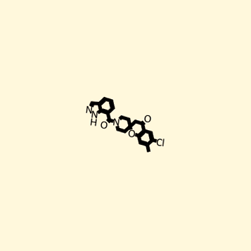 Cc1cc2c(cc1Cl)C(=O)CC1(CCN(C(=O)c3cccc4cn[nH]c34)CC1)O2